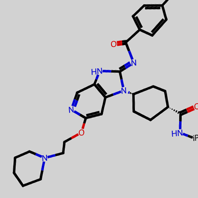 CNc1ccc(C(=O)/N=c2\[nH]c3cnc(OCCN4CCCCC4)cc3n2[C@H]2CC[C@@H](C(=O)NC(C)C)CC2)cc1